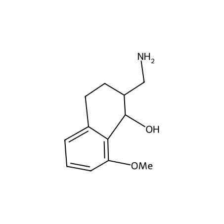 COc1cccc2c1C(O)C(CN)CC2